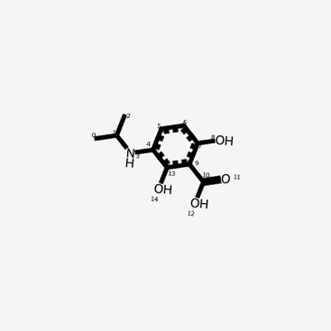 CC(C)Nc1ccc(O)c(C(=O)O)c1O